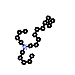 c1ccc(-c2cccc(-c3cccc(-c4ccc(-c5nc(-c6ccc(-c7cccc(-c8cccc(-c9cccc(-c%10ccccc%10)c9)c8)c7)cc6)nc(-c6ccc(-c7cccc(-c8cccc(-c9cccc(-c%10cccc(-c%11cccc(-c%12ccc%13c(c%12)C%12(c%14ccccc%14-c%14ccccc%14%12)c%12ccccc%12-%13)c%11)c%10)c9)c8)c7)cc6)n5)cc4)c3)c2)cc1